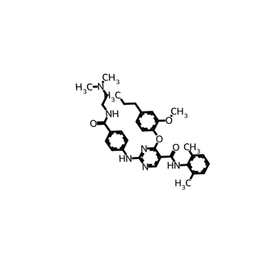 CCCc1ccc(Oc2nc(Nc3ccc(C(=O)NCCN(C)C)cc3)ncc2C(=O)Nc2c(C)cccc2C)c(OC)c1